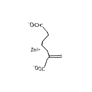 C=C(CCC(=O)[O-])C(=O)[O-].[Zn+2]